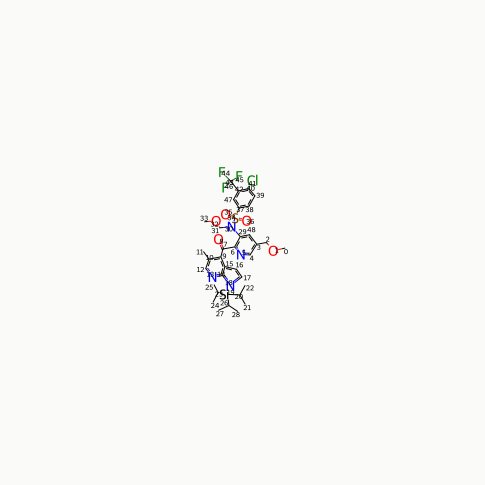 COCc1cnc(C(=O)c2c(C)cnc3c2ccn3[Si](C(C)C)(C(C)C)C(C)C)c(N(COC)S(=O)(=O)c2ccc(Cl)c(C(F)(F)F)c2)c1